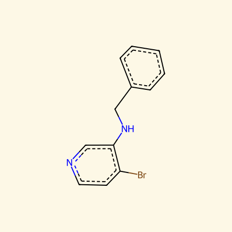 Brc1ccncc1NCc1ccccc1